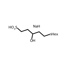 CCCCCCCCC(O)CCS(=O)(=O)O.[NaH]